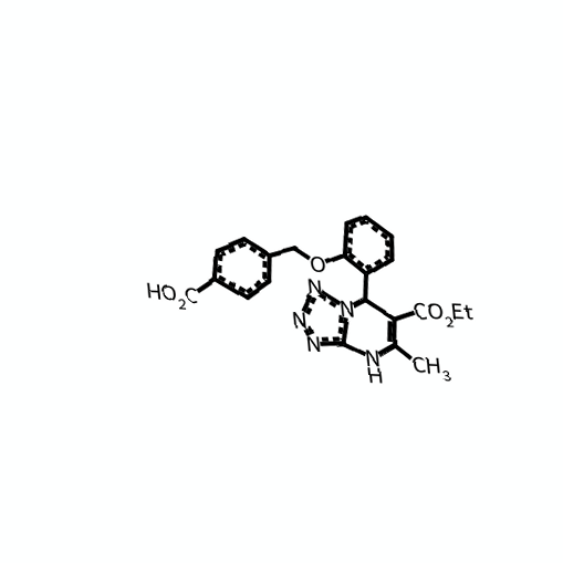 CCOC(=O)C1=C(C)Nc2nnnn2C1c1ccccc1OCc1ccc(C(=O)O)cc1